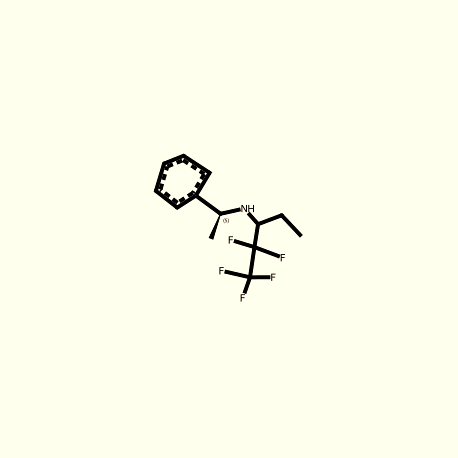 CCC(N[C@@H](C)c1ccccc1)C(F)(F)C(F)(F)F